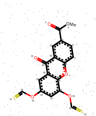 COC(=O)c1ccc2oc3c(OC=S)cc(OC=S)cc3c(=O)c2c1